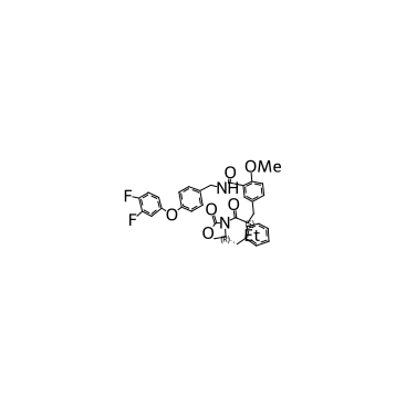 CC[C@@H](Cc1ccc(OC)c(C(=O)NCc2ccc(Oc3ccc(F)c(F)c3)cc2)c1)C(=O)N1C(=O)OC[C@H]1Cc1ccccc1